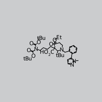 CCOP1(=O)CCN(Cc2ccccc2-c2ccnn2C)C(C(C)(C)C)C1(CCCCN(C(=O)OC(C)(C)C)C(=O)OC(C)(C)C)C(=O)O